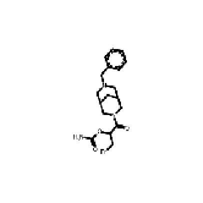 CC(C)CC(OC(N)=O)C(=O)N1CC2CC(CN(Cc3ccccc3)C2)C1